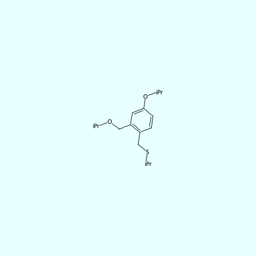 CC(C)OCc1cc(OC(C)C)ccc1CSC(C)C